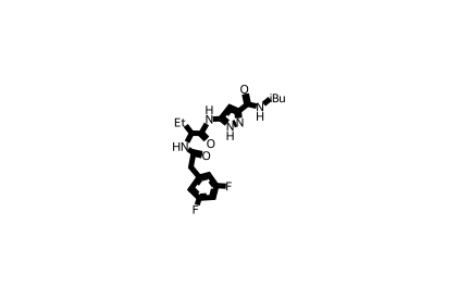 CCC(C)NC(=O)c1cc(NC(=O)C(CC)NC(=O)Cc2cc(F)cc(F)c2)[nH]n1